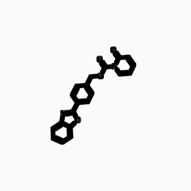 O=C(OCc1ccc(-c2nc3ccccc3o2)cc1)n1ccccc1=O